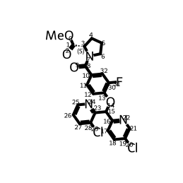 COC(=O)[C@@H]1CCCN1C(=O)c1ccc(OC(c2ccc(Cl)cn2)c2ncccc2Cl)c(F)c1